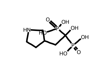 O=P(O)(O)C(O)(CC1CCNC1)P(=O)(O)O